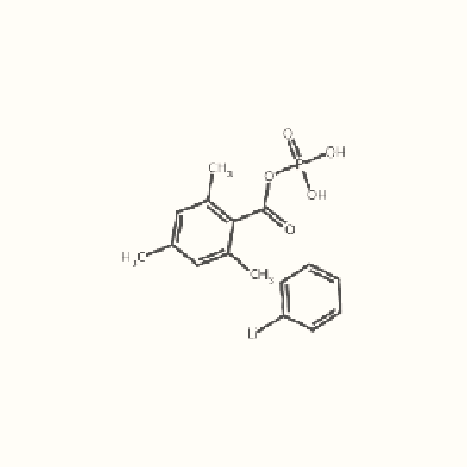 Cc1cc(C)c(C(=O)OP(=O)(O)O)c(C)c1.[Li][c]1ccccc1